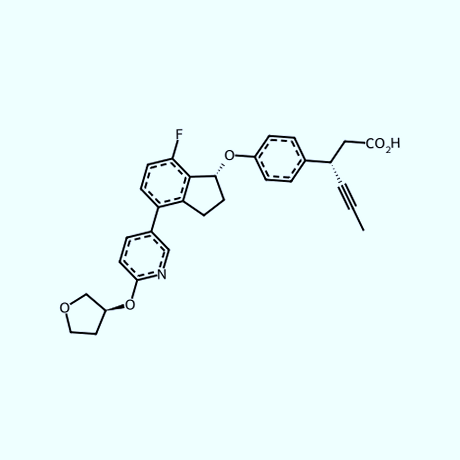 CC#C[C@@H](CC(=O)O)c1ccc(O[C@@H]2CCc3c(-c4ccc(O[C@H]5CCOC5)nc4)ccc(F)c32)cc1